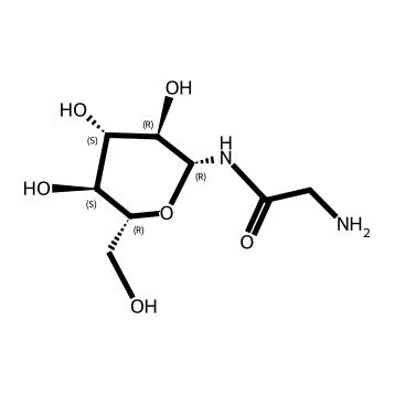 NCC(=O)N[C@@H]1O[C@H](CO)[C@@H](O)[C@H](O)[C@H]1O